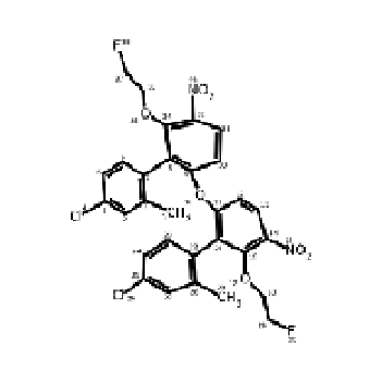 Cc1cc(Cl)ccc1-c1c(Oc2ccc([N+](=O)[O-])c(OCCF)c2-c2ccc(Cl)cc2C)ccc([N+](=O)[O-])c1OCCF